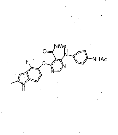 CNC(=O)c1c(Nc2ccc(NC(C)=O)cc2)ncnc1Oc1ccc2[nH]c(C)cc2c1F